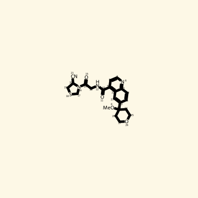 COC1(c2ccc3nccc(C(=O)NCC(=O)N4CSCC4C#N)c3c2)CCOCC1